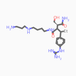 CCC(c1ccc(NC(=N)N)cc1)C(C(=O)NCCCCNCCCN)[C@@H](CO)C(N)=O